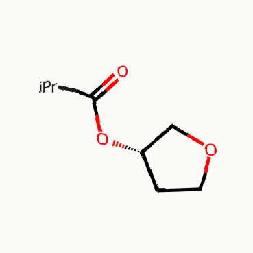 CC(C)C(=O)O[C@H]1CCOC1